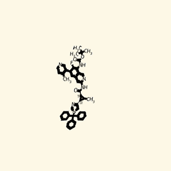 Cc1ccncc1-c1cc2cc(NC(=O)[C@H]3C(C)[C@@H]3c3cn(C(c4ccccc4)(c4ccccc4)c4ccccc4)cn3)ncc2c(NC(=O)OC(C)(C)C)c1F